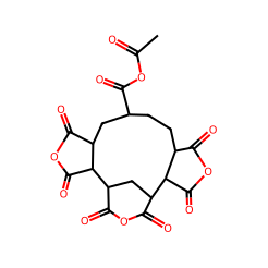 CC(=O)OC(=O)C1CCC2C(=O)OC(=O)C2C2CC(C(=O)OC2=O)C2C(=O)OC(=O)C2C1